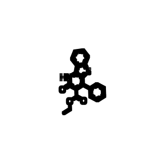 CCOC(=O)c1c(-c2ccccc2)c2sc3ccccc3c2[nH]c1=O